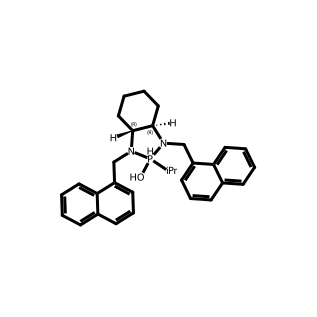 CC(C)[PH]1(O)N(Cc2cccc3ccccc23)[C@@H]2CCCC[C@H]2N1Cc1cccc2ccccc12